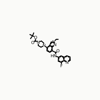 CCn1cc2c(N3CCN(C(=O)OC(C)(C)C)CC3)ccc(C(=O)Nc3cc(F)c4ncccc4c3)c2n1